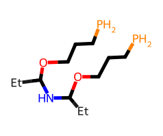 CCC(NC(CC)OCCCP)OCCCP